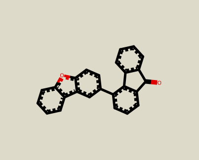 O=C1c2ccccc2-c2c1cccc2-c1ccc2oc3ccccc3c2c1